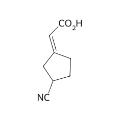 N#CC1CCC(=CC(=O)O)C1